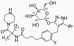 CC(C)c1[nH]nc(O[C@@H]2O[C@H](CO)[C@H](O)[C@H](O)[C@H]2O)c1Cc1ccc(CCCC(=O)NC(C)(C)C(=O)N2CCNCC2)cc1F